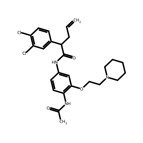 C=CCC(C(=O)Nc1ccc(NC(C)=O)c(OCCN2CCCCC2)c1)c1ccc(Cl)c(Cl)c1